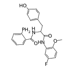 COc1ccc(F)cc1NC(=O)C(Cc1ccc(O)cc1)NC(=O)c1ccccc1P